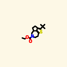 CCOC(=O)N1CCc2sc(C(C)(C)C)c3c2C(CC3)C1